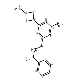 CNC1CN(c2cc(CN[C@@H](C)c3ccccc3)nc(N)n2)C1